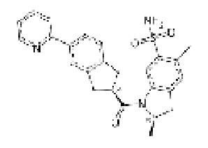 Cc1cc2c(cc1S(N)(=O)=O)N(C(=O)[C@@H]1Cc3ccc(-c4ccccn4)cc3C1)[C@H](C)C2